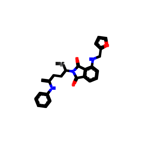 C=C(CCC(C(=O)O)N1C(=O)c2cccc(NCc3ccco3)c2C1=O)Nc1ccccc1